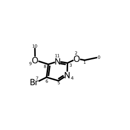 CCOc1ncc(Br)c(OC)n1